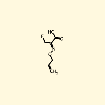 C=CCON=C(CF)C(=O)O